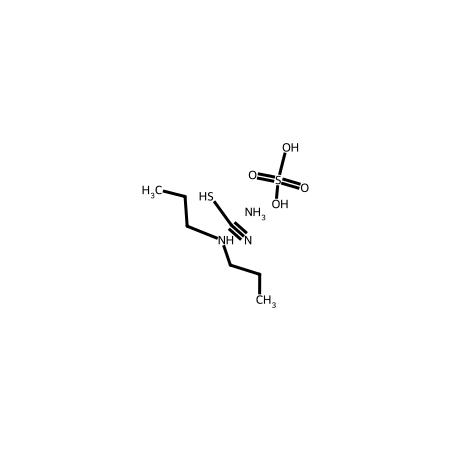 CCCNCCC.N.N#CS.O=S(=O)(O)O